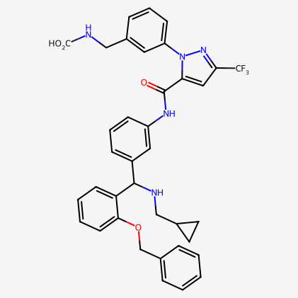 O=C(O)NCc1cccc(-n2nc(C(F)(F)F)cc2C(=O)Nc2cccc(C(NCC3CC3)c3ccccc3OCc3ccccc3)c2)c1